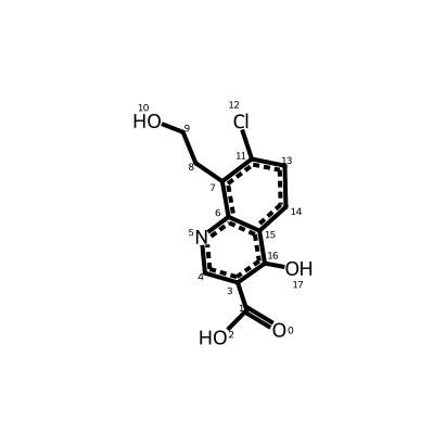 O=C(O)c1cnc2c(CCO)c(Cl)ccc2c1O